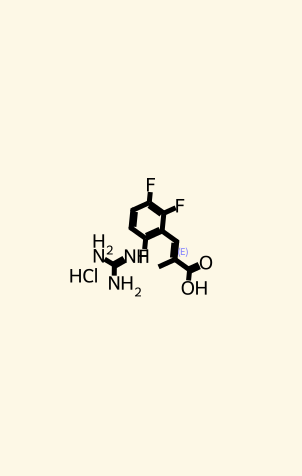 C/C(=C\c1c(F)ccc(F)c1F)C(=O)O.Cl.N=C(N)N